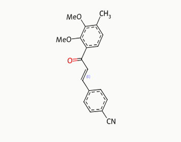 COc1c(C)ccc(C(=O)/C=C/c2ccc(C#N)cc2)c1OC